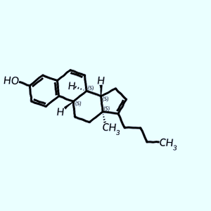 CCCCC1=CC[C@H]2[C@@H]3C=Cc4cc(O)ccc4[C@H]3CC[C@]12C